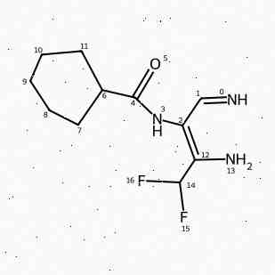 N=C/C(NC(=O)C1CCCCC1)=C(\N)C(F)F